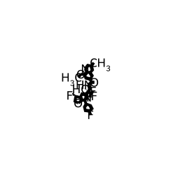 COc1cc(C(=O)NC[C@](O)(c2cc3c(c(-c4ccc(F)cc4)n2)OC[C@H]3CF)C(F)(F)F)cc2cc(C)cnc12